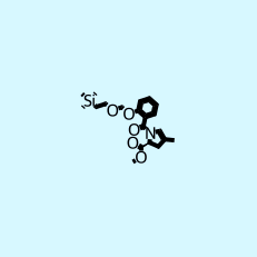 COC(=O)[C@@H]1CC(C)=CN1C(=O)c1ccccc1OCOCC[Si](C)(C)C